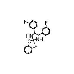 CC1(Oc2ccccc2F)NC(c2cccc(F)c2)C(c2cccc(F)c2)N1